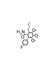 CCCCc1c(OC)c(OC)c(OC)c(-c2ccc(F)cc2)c1C(N)=O